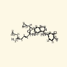 CN(C/C=C/C(=O)Nc1cc2c(Nc3ccc(F)c(Cl)c3)ncnc2cc1OCC1CC1)CC1CC1